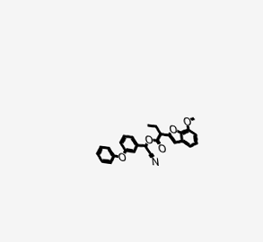 CCC(C(=O)OC(C#N)c1cccc(Oc2ccccc2)c1)c1cc2cccc(OC)c2o1